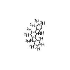 [2H]c1cc2[nH]c3c(c([2H])c([2H])c4c3c3c([2H])c([2H])c([2H])c([2H])c3n4[2H])c2c([2H])c1[2H]